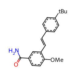 COc1ccc(C(N)=O)cc1C=Cc1ccc(C(C)(C)C)cc1